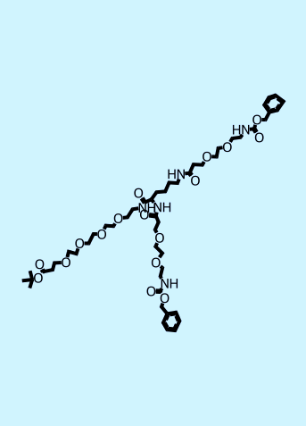 CC(C)(C)OC(=O)CCOCCOCCOCCOCCNC(=O)C(CCCCNC(=O)CCOCCOCCNC(=O)OCc1ccccc1)NC(=O)CCOCCOCCNC(=O)OCc1ccccc1